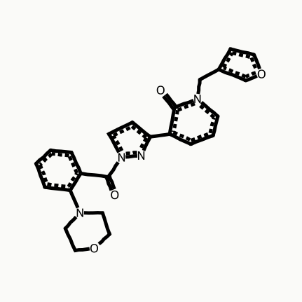 O=C(c1ccccc1N1CCOCC1)n1ccc(-c2cccn(Cc3ccoc3)c2=O)n1